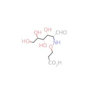 O=C[C@H](NOCCC(=O)O)[C@@H](O)[C@H](O)[C@H](O)CO